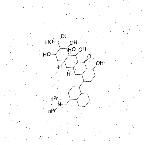 CCCN(CCC)CC1CCC(C2CCC(O)C3C(=O)C4C(O)[C@]5(O)C(O)C(C(O)CC)C(O)C[C@@H]5C[C@@H]4CC23)C2CCCCC12